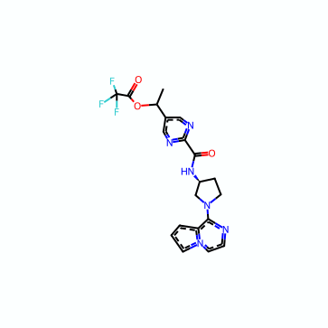 CC(OC(=O)C(F)(F)F)c1cnc(C(=O)N[C@H]2CCN(c3nccn4cccc34)C2)nc1